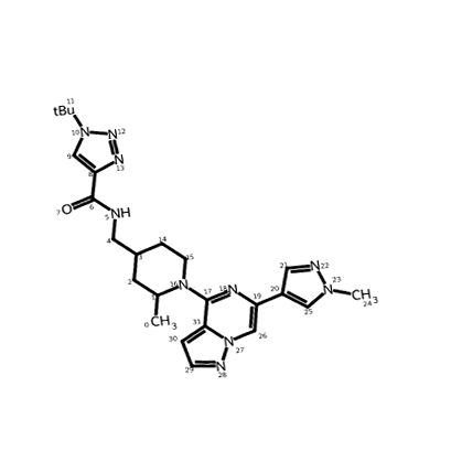 CC1CC(CNC(=O)c2cn(C(C)(C)C)nn2)CCN1c1nc(-c2cnn(C)c2)cn2nccc12